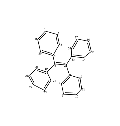 [c]1cccc(C(=C(c2ccccc2)c2ccccc2)c2ccccc2)c1